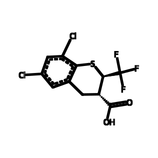 O=C(O)[C@@H]1Cc2cc(Cl)cc(Cl)c2S[C@H]1C(F)(F)F